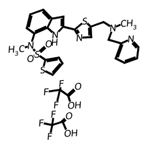 CN(Cc1ccccn1)Cc1cnc(-c2cc3cccc(N(C)S(=O)(=O)c4cccs4)c3[nH]2)s1.O=C(O)C(F)(F)F.O=C(O)C(F)(F)F